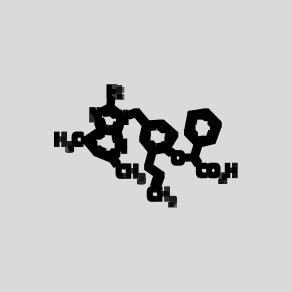 C=CCc1cc(Cn2c(CC)nc3c(C)cc(C)nc32)ccc1OC(C(=O)O)c1ccccc1